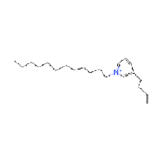 CCCCCCCCCCCC[n+]1cccc(CCCC)c1